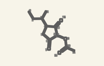 CCC(C)C1CC(=O)N(OC(C)=O)C1=O